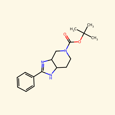 CC(C)(C)OC(=O)N1CCC2NC(c3ccccc3)=NC2C1